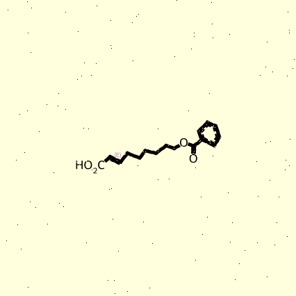 O=C(O)/C=C/CCCCCCOC(=O)c1ccccc1